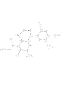 CCC(COC)n1c(=O)c(C)nc2c(-c3cc(C)c(OC)cc3Cl)ccnc21